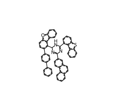 c1ccc(-c2ccc(-c3ccc4oc5ccccc5c4c3C3N=C(c4ccc5c(ccc6ccccc65)c4)N=C(c4cccc5sc6ccccc6c45)N3)cc2)cc1